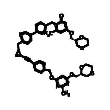 Cc1nc(OCc2ccc(C#CC3CC3Cc3ccc(-c4ccc(Cn5c(C)cc(OC[C@H]6COCCO6)cc5=O)cc4)cn3)cc2)cc(OC[C@H]2COCCO2)n1